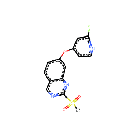 CCS(=O)(=O)c1ncc2ccc(Oc3ccnc(F)c3)cc2n1